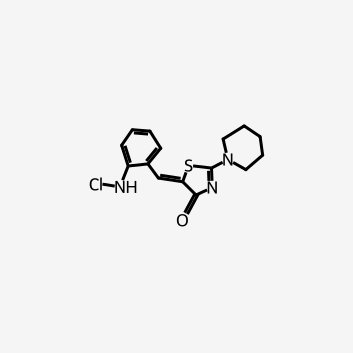 O=C1N=C(N2CCCCC2)S/C1=C\c1ccccc1NCl